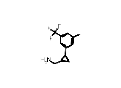 Cc1cc(C2CC2CN)cc(C(F)(F)F)c1